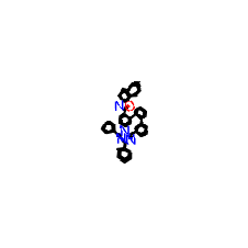 c1ccc(-c2nc(-c3ccccc3)nc(-c3cccc(-c4ccccc4-c4ccccc4-c4nc5ccc6ccccc6c5o4)c3)n2)cc1